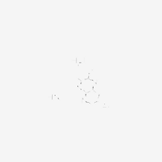 CC(=O)c1cnc2c(c1)n(C)c(=O)c(=O)n2C1CCNCC1.Cl.Cl